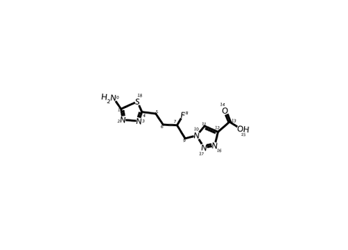 Nc1nnc(CCC(F)Cn2cc(C(=O)O)nn2)s1